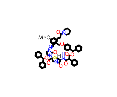 COc1ccc(COc2ccc(C(OC(=O)C(C(=O)N[C@@H]3C(=O)N4C[C@@](C(=O)OC(c5ccccc5)c5ccccc5)(N5CCN(N=CC=CC=CC(=O)N6CCCCC6)C5=O)S[C@H]34)c3ccccc3)c3ccccc3)cc2)cc1